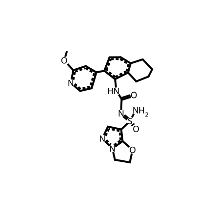 COc1cc(-c2ccc3c(c2NC(=O)N=S(N)(=O)c2cnn4c2OCC4)CCCC3)ccn1